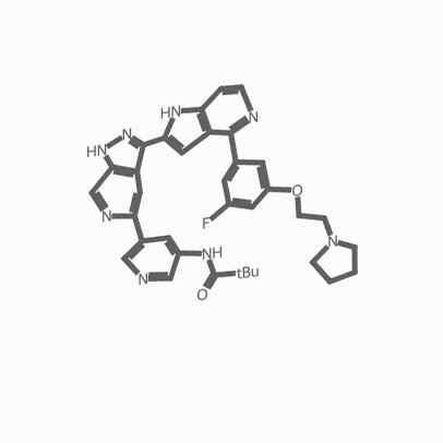 CC(C)(C)C(=O)Nc1cncc(-c2cc3c(-c4cc5c(-c6cc(F)cc(OCCN7CCCC7)c6)nccc5[nH]4)n[nH]c3cn2)c1